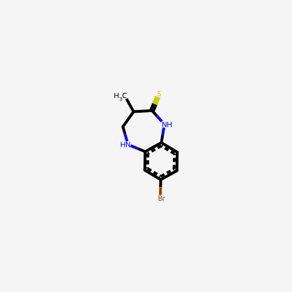 CC1CNc2cc(Br)ccc2NC1=S